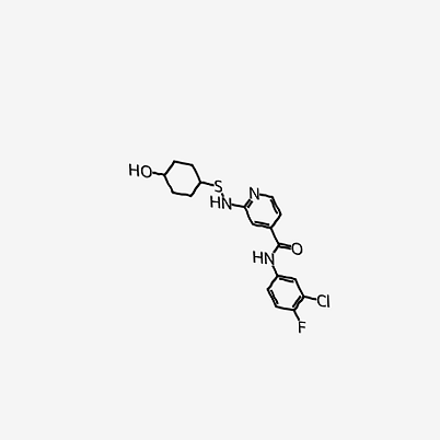 O=C(Nc1ccc(F)c(Cl)c1)c1ccnc(NSC2CCC(O)CC2)c1